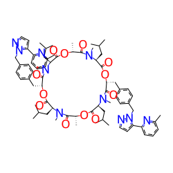 Cc1cccc(-c2ccnn2Cc2ccc(C[C@H]3OC(=O)[C@H](CC(C)C)N(C)C(=O)[C@@H](C)OC(=O)[C@H](CC(C)C)N(C)C(=O)[C@@H](Cc4ccc(Cn5nccc5-c5cccc(C)n5)cc4)OC(=O)[C@H](CC(C)C)N(C)C(=O)[C@@H](C)OC(=O)[C@H](CC(C)C)N(C)C3=O)cc2)n1